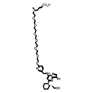 CCc1cnn2c(NCc3ccc(OCCOCCOCCOCCOCCOCCOCCN(C)C/C=C/C(=O)O)nc3)cc(N3CCCC[C@H]3CCO)nc12